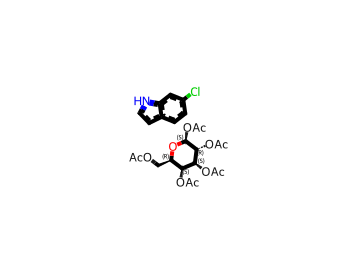 CC(=O)OC[C@H]1O[C@@H](OC(C)=O)[C@H](OC(C)=O)[C@@H](OC(C)=O)[C@H]1OC(C)=O.Clc1ccc2cc[nH]c2c1